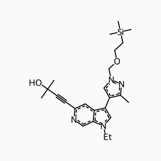 CCn1cc(-c2cn(COCC[Si](C)(C)C)nc2C)c2cc(C#CC(C)(C)O)ncc21